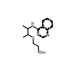 CCCCCCCCCCCCOC(C)C(C)Nc1ncnc2ccccc12